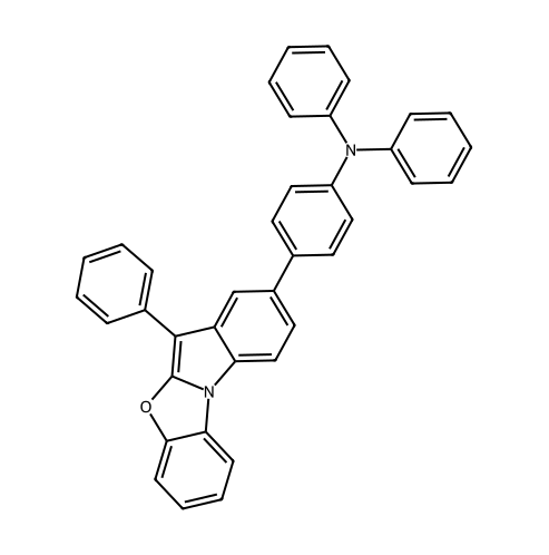 c1ccc(-c2c3cc(-c4ccc(N(c5ccccc5)c5ccccc5)cc4)ccc3n3c2oc2ccccc23)cc1